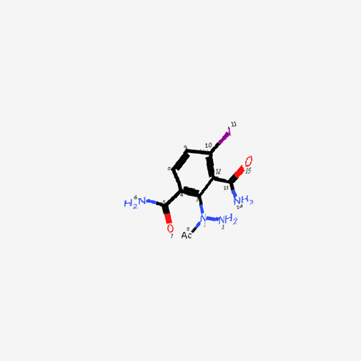 CC(=O)N(N)c1c(C(N)=O)ccc(I)c1C(N)=O